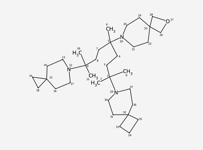 CC(C)(CCC(C)(CCC(C)(C)N1CCC2(CC1)CC2)N1CCC2(CC1)COC2)N1CCC2(CCC2)CC1